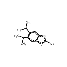 CC(C)c1cc2nc(S)oc2cc1C(C)C